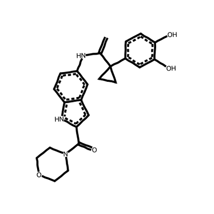 C=C(Nc1ccc2[nH]c(C(=O)N3CCOCC3)cc2c1)C1(c2ccc(O)c(O)c2)CC1